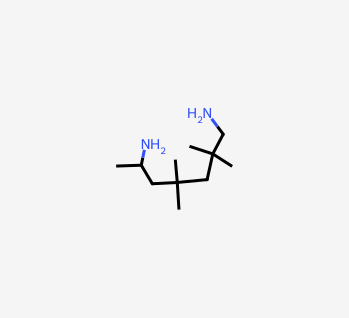 CC(N)CC(C)(C)CC(C)(C)CN